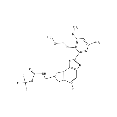 C=Nc1cc(C)cc(-c2nc3cc(F)c4c(c3s2)CC(CNC(=O)OC(F)(F)F)C4)c1NCOC